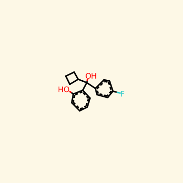 Oc1ccccc1C(O)(c1ccc(F)cc1)C1CCC1